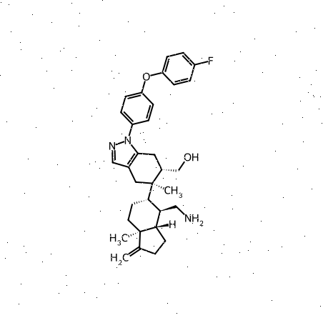 C=C1CC[C@H]2[C@H](CN)[C@@H]([C@@]3(C)Cc4cnn(-c5ccc(Oc6ccc(F)cc6)cc5)c4C[C@@H]3CO)CC[C@]12C